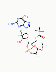 CC(C)OC(=O)[C@H](C)NP(=S)(OCCSC(=O)C(C)(C)C)OC[C@H]1O[C@@H](n2cnc3c(N)nc(N)nc32)[C@@](F)(Cl)[C@@H]1O